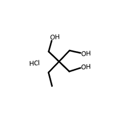 CCC(CO)(CO)CO.Cl